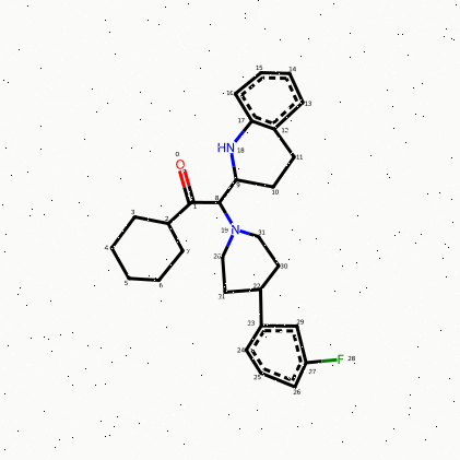 O=C(C1CCCCC1)C(C1CCc2ccccc2N1)N1CCC(c2cccc(F)c2)CC1